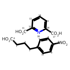 O=C(O)CCCc1ccc([N+](=O)[O-])cc1.O=C(O)c1cccc(C(=O)O)n1